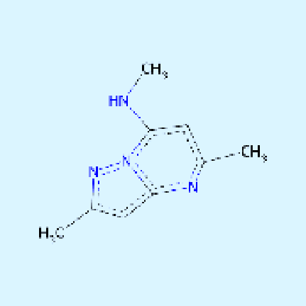 CNc1cc(C)nc2cc(C)nn12